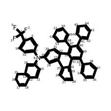 FC(F)(F)c1ccc(N(c2ccc3c(c2)CCC=C3)c2ccc3c(c2)c2ccccc2c2c(-c4ccccc4)cc(-c4ccccc4)c(-c4ccccc4)c32)cc1